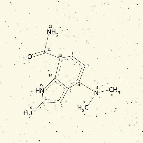 Cc1cc2c(N(C)C)ccc(C(N)=O)c2[nH]1